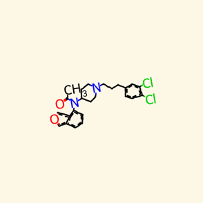 CC(=O)N(c1cccc2cocc12)C1CCN(CCCc2ccc(Cl)c(Cl)c2)CC1